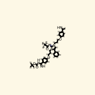 CC(=N)c1ccc(OCCCn2cc(-c3ccccc3)n(CCCOc3ccc(C(=N)NC(=O)OC(C)(C)C)cc3)/c2=N\C(=O)C(F)(F)F)cc1